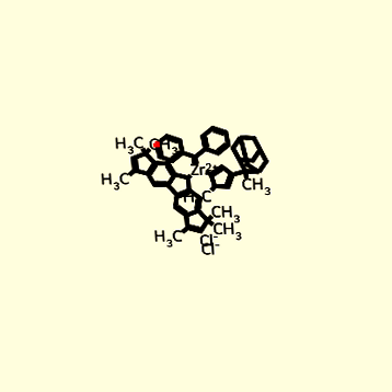 CC1=CC(C)(C)c2cc3c(cc21)-c1cc2c(cc1[CH]3[Zr+2]([C]1=CC(C3(C)C4CC5CC(C4)CC3C5)=CC1C)=[C](c1ccccc1)c1ccccc1)C(C)(C)C=C2C.[Cl-].[Cl-]